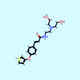 O=C(C=Cc1ccc(Oc2ccsc2)cc1)NCCN(CCO)CCO